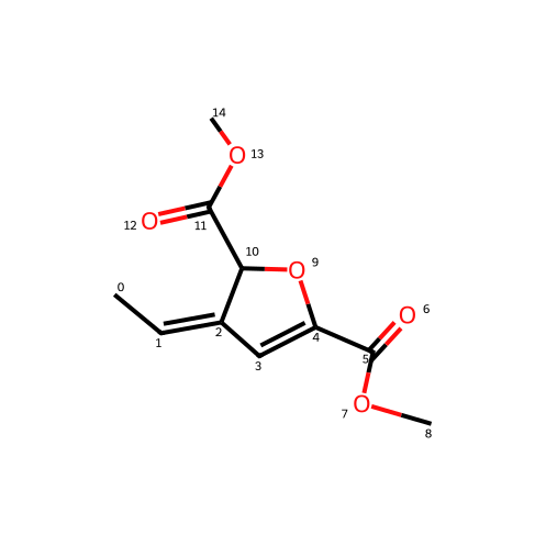 CC=C1C=C(C(=O)OC)OC1C(=O)OC